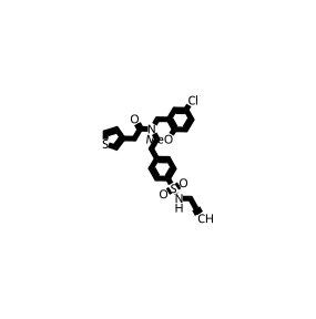 C#CCNS(=O)(=O)c1ccc(CCN(Cc2cc(Cl)ccc2OC)C(=O)Cc2ccsc2)cc1